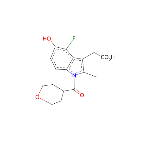 Cc1c(CC(=O)O)c2c(F)c(O)ccc2n1C(=O)C1CCOCC1